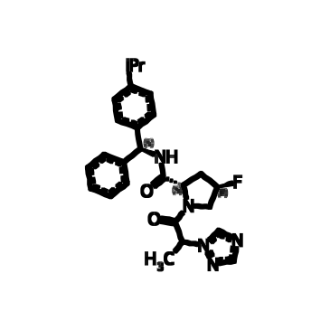 CC(C)c1ccc([C@@H](NC(=O)[C@@H]2C[C@@H](F)CN2C(=O)C(C)n2cncn2)c2ccccc2)cc1